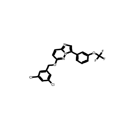 FC(F)(F)Oc1cccc(-c2cnc3ccc(OCc4cc(Cl)cc(Cl)c4)nn23)c1